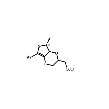 CCCC1=C2OCC(CC(=O)O)OC2[C@H](C)S1